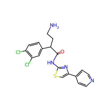 NCCC(C(=O)Nc1nc(-c2ccncc2)cs1)c1ccc(Cl)c(Cl)c1